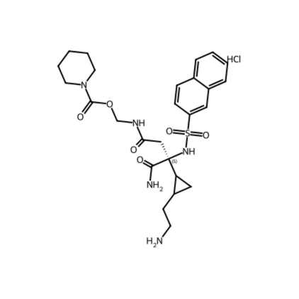 Cl.NCCC1CC1[C@](CC(=O)NCOC(=O)N1CCCCC1)(NS(=O)(=O)c1ccc2ccccc2c1)C(N)=O